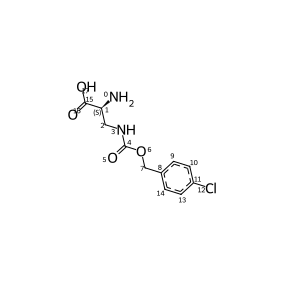 N[C@@H](CNC(=O)OCc1ccc(Cl)cc1)C(=O)O